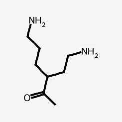 CC(=O)C(CCN)CCCN